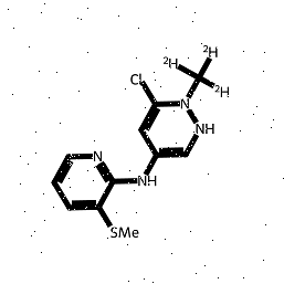 [2H]C([2H])([2H])N1NC=C(Nc2ncccc2SC)C=C1Cl